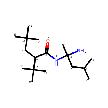 CC(C)CC(C)(N)NC(=O)C(CC(C)(C)C)C(C)(C)C